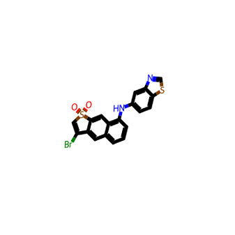 O=S1(=O)C=C(Br)c2cc3cccc(Nc4ccc5scnc5c4)c3cc21